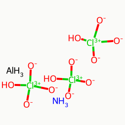 N.[AlH3].[O-][Cl+3]([O-])([O-])O.[O-][Cl+3]([O-])([O-])O.[O-][Cl+3]([O-])([O-])O